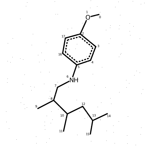 COc1ccc(NCC(C)C(C)CC(C)C)cc1